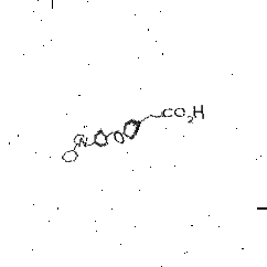 O=C(O)CCc1ccc(OCc2ccc(CN3CCCC3C3CCCCC3)cc2)cc1